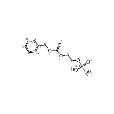 O=C(OCCOP(=O)(O)O)OCc1ccccc1